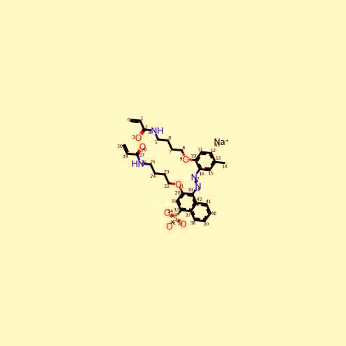 C=CC(=O)NCCCCOc1ccc(C)cc1N=Nc1c(OCCCCNC(=O)C=C)cc(S(=O)(=O)[O-])c2ccccc12.[Na+]